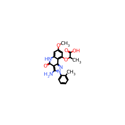 COc1cc(OC(C)C(=O)O)c2c(c1)[nH]c(=O)c1c(N)n(-c3ccccc3C)nc12